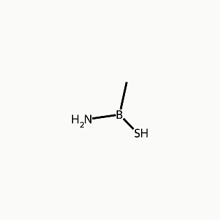 CB(N)S